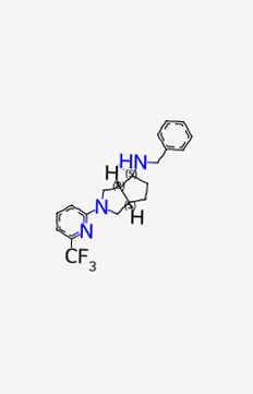 C[C@]1(NCc2ccccc2)CC[C@@H]2CN(c3cccc(C(F)(F)F)n3)C[C@@H]21